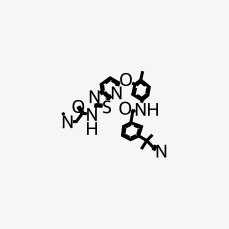 Cc1ccc(NC(=O)c2cccc(C(C)(C)C#N)c2)cc1Oc1ccc2nc(NC(=O)CN(C)C)sc2n1